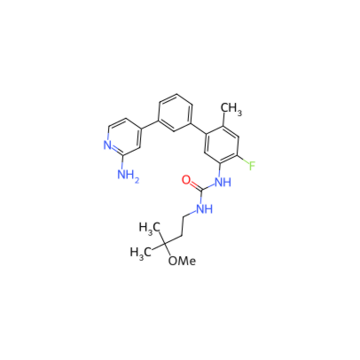 COC(C)(C)CCNC(=O)Nc1cc(-c2cccc(-c3ccnc(N)c3)c2)c(C)cc1F